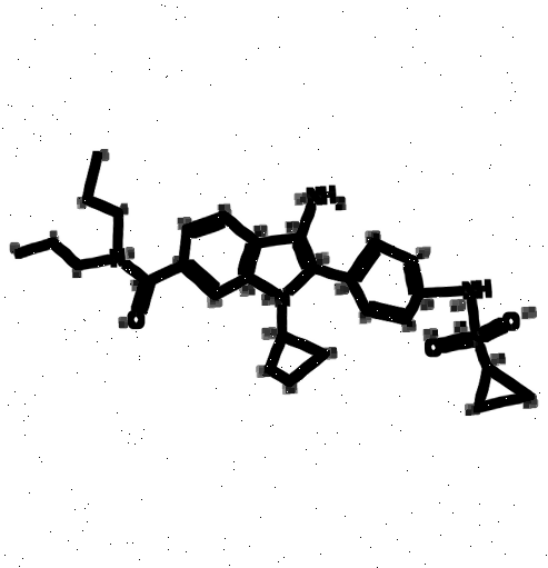 CCCN(CCC)C(=O)c1ccc2c(N)c(-c3ccc(NS(=O)(=O)C4CC4)cc3)n(C3CCC3)c2c1